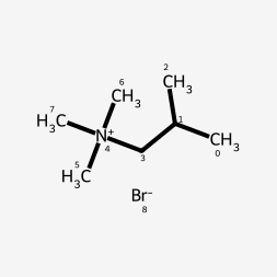 CC(C)C[N+](C)(C)C.[Br-]